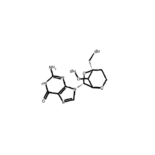 CC(C)(C)C[C@]12CCOC(C1OC(C)(C)C)[C@H](n1cnc3c(=O)[nH]c(N)nc31)O2